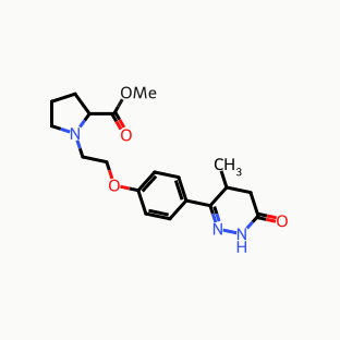 COC(=O)C1CCCN1CCOc1ccc(C2=NNC(=O)CC2C)cc1